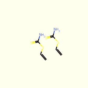 C=CSC(N)=S.C=CSC(N)=S